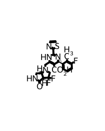 Cc1c(F)cccc1[C@@H]1N=C(c2nccs2)NC(CN2CC(F)(F)[C@@H]3C(=O)NC[C@@H]32)=C1C(=O)O